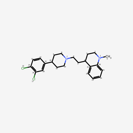 CN1CCC(CCN2CCC(c3ccc(Cl)c(Cl)c3)CC2)c2ccccc21